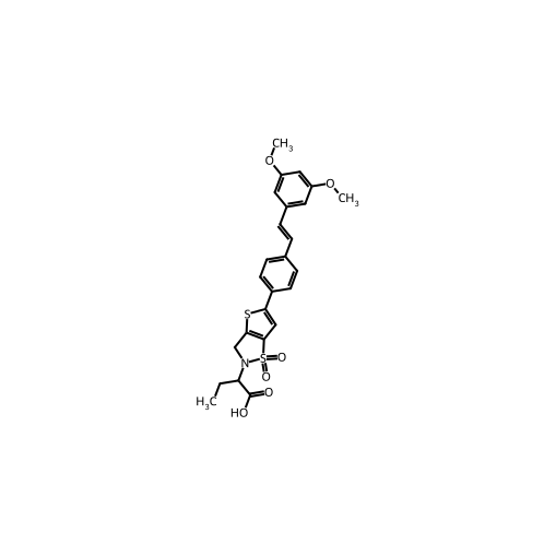 CCC(C(=O)O)N1Cc2sc(-c3ccc(/C=C/c4cc(OC)cc(OC)c4)cc3)cc2S1(=O)=O